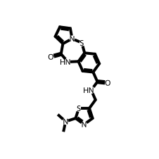 CN(C)c1ncc(CNC(=O)c2ccc3c(c2)NC(=O)c2cccn2S3)s1